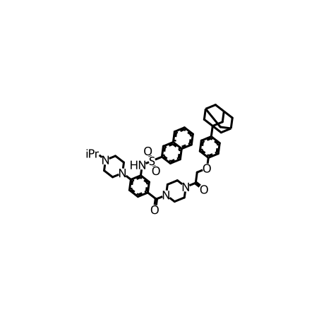 CC(C)N1CCN(c2ccc(C(=O)N3CCN(C(=O)COc4ccc(C56CC7CC(CC(C7)C5)C6)cc4)CC3)cc2NS(=O)(=O)c2ccc3ccccc3c2)CC1